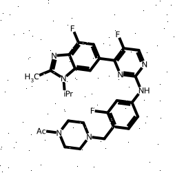 CC(=O)N1CCN(Cc2ccc(Nc3ncc(F)c(-c4cc(F)c5nc(C)n(C(C)C)c5c4)n3)cc2F)CC1